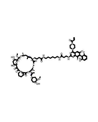 C=CC(=O)N1CCN(c2nc(NCCC(=O)NCCCCCCNC(=O)CCC[C@@H]3/C=C(\C)C[C@H](C)C[C@H](OC)[C@H]4O[C@@](O)(C(=O)C(=O)N5CCCC[C@H]5C(=O)O[C@H](/C(C)=C/[C@@H]5CC[C@@H](O)[C@H](OC)C5)[C@H](C)CCC3=O)[C@H](C)C[C@@H]4O)nc3c(F)c(-c4c(O)cccc4F)c(Cl)cc23)CC1